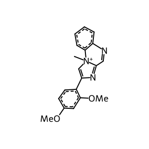 COc1ccc(C2=C[N+]3(C)C(=N2)C=Nc2ccccc23)c(OC)c1